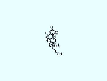 C[C@]12CC[C@H]3[C@@H]([C@H]4C[C@H]4C4=CC(=O)C5OC5[C@@]43C)[C@@H]1CC[C@@]2(O)CCCO